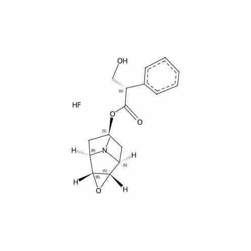 CN1[C@@H]2C[C@@H](OC(=O)[C@H](CO)c3ccccc3)C[C@H]1[C@@H]1O[C@@H]12.F